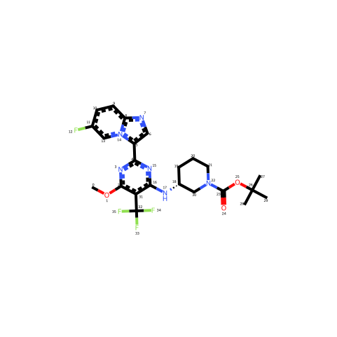 COc1nc(-c2cnc3ccc(F)cn23)nc(N[C@@H]2CCCN(C(=O)OC(C)(C)C)C2)c1C(F)(F)F